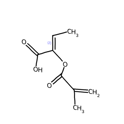 C=C(C)C(=O)O/C(=C\C)C(=O)O